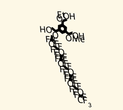 CCOC(CO)c1cc(C(CO)OC)cc(C(CO)OCC(F)(F)OC(F)(F)C(F)(F)OC(F)(F)C(F)(F)OC(F)(F)C(F)(F)OC(F)(F)C(F)(F)OC(F)(F)C(F)(F)OC(F)(F)C(F)(F)F)c1